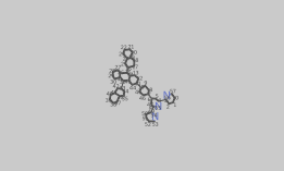 c1ccc(-c2cc(-c3ccc(-c4ccc5c(-c6ccc7ccccc7c6)c6ccccc6c(-c6ccc7ccccc7c6)c5c4)cc3)cc(-c3ccccn3)n2)nc1